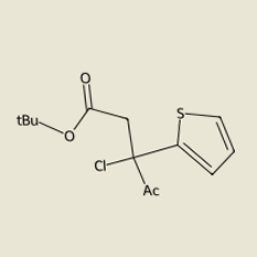 CC(=O)C(Cl)(CC(=O)OC(C)(C)C)c1cccs1